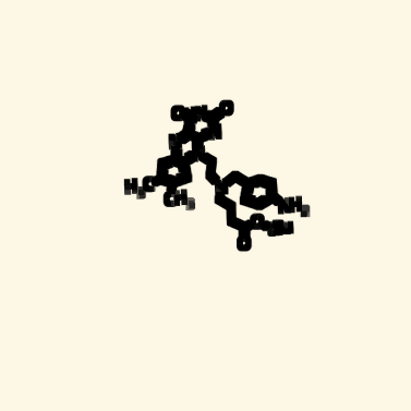 Cc1cc2nc3c(=O)[nH]c(=O)nc-3n(CCN(CCCC(=O)OC(C)(C)C)Cc3ccc(N)cc3)c2cc1C